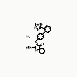 CCCCC1=NC2(CCCC2)C(=O)N1Cc1ccc(-c2ccccc2-c2nnn[nH]2)cc1.Cl